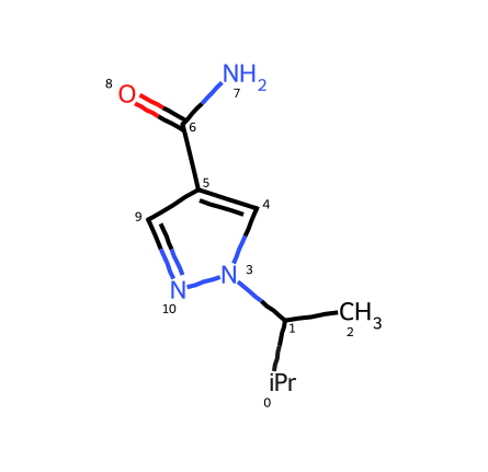 CC(C)C(C)n1cc(C(N)=O)cn1